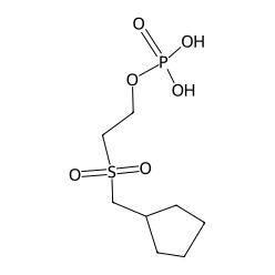 O=P(O)(O)OCCS(=O)(=O)CC1CCCC1